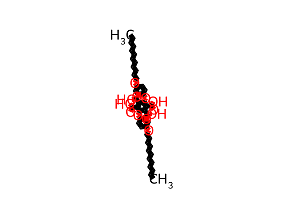 CCCCCCCCCCCCOc1ccc(Oc2c(C(=O)O)c(C(=O)O)c(Oc3ccc(OCCCCCCCCCCCC)cc3)c(C(=O)O)c2C(=O)O)cc1